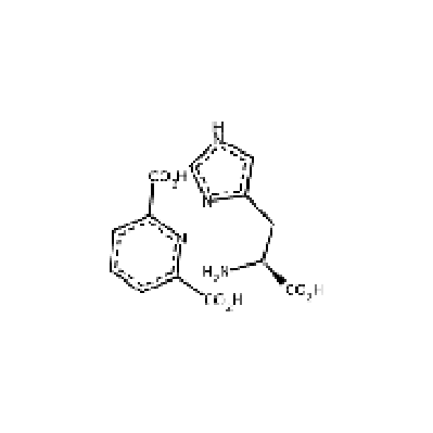 N[C@@H](Cc1c[nH]cn1)C(=O)O.O=C(O)c1cccc(C(=O)O)n1